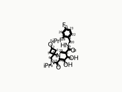 CC(C)OC1CC2(C1)CN(C(C)C)C(=O)C1=C(O)C(O)C(C(=O)NCc3ccc(F)cc3F)=CN12